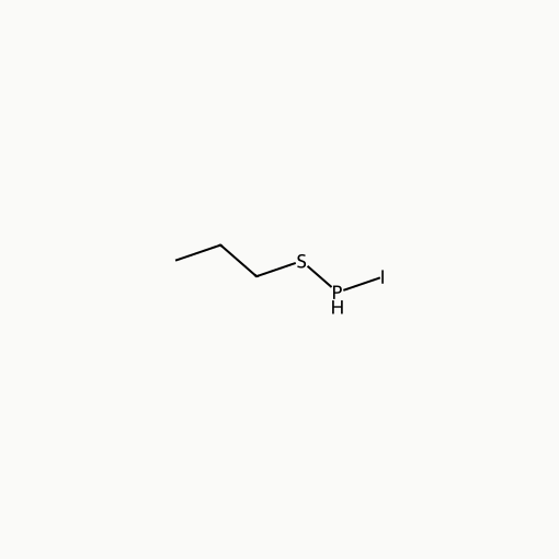 CCCSPI